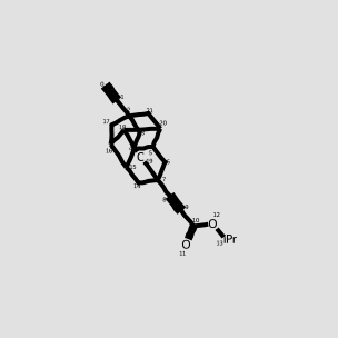 C#CC12CC3C4CC5(C#CC(=O)OC(C)C)CC3C(C1)C(C5)C4C2